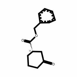 O=C1CCC[C@H](C(=O)OCc2ccccc2)C1